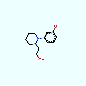 OCCC1CCCCN1c1cccc(O)c1